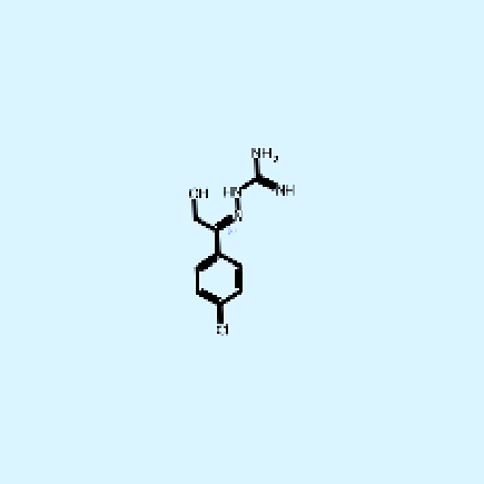 N=C(N)N/N=C(\CO)c1ccc(Cl)cc1